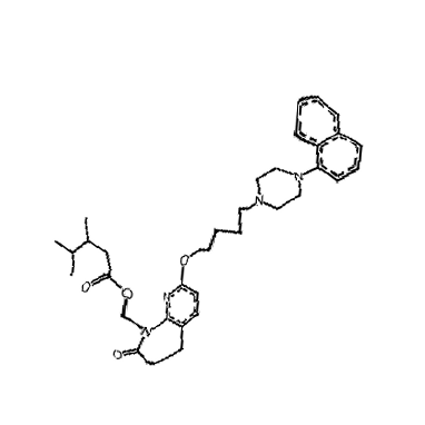 CC(C)C(C)CC(=O)OCN1C(=O)CCc2ccc(OCCCCN3CCN(c4cccc5ccccc45)CC3)nc21